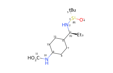 CC[C@H](N[S@@+]([O-])C(C)(C)C)C1CCC(NC(=O)O)CC1